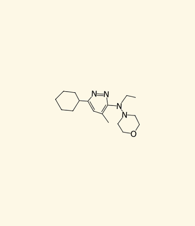 CCN(c1nnc(C2CCCCC2)cc1C)N1CCOCC1